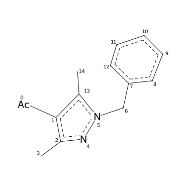 CC(=O)c1c(C)nn(Cc2ccccc2)c1C